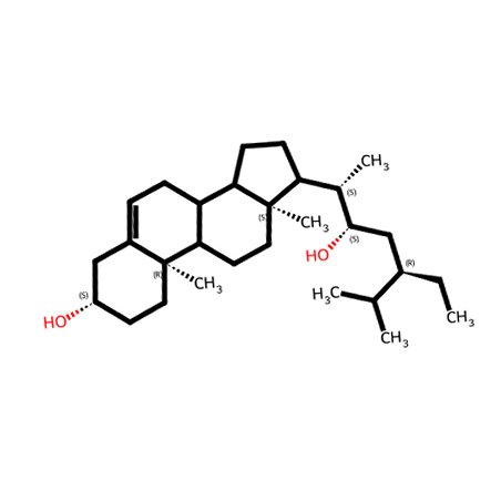 CC[C@H](C[C@H](O)[C@@H](C)C1CCC2C3CC=C4C[C@@H](O)CC[C@]4(C)C3CC[C@@]21C)C(C)C